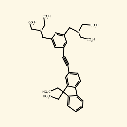 O=C(O)CN(CC(=O)O)Cc1cc(C#Cc2ccc3c(c2)C(CC(=O)O)(CC(=O)O)c2ccccc2-3)cc(CN(CC(=O)O)CC(=O)O)n1